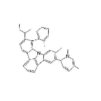 CCC(C)c1ccc2c3cccc4c5cc(C6C=CC(C)=CN6C)c(C)cc5n(c2c1-c1ccccc1C)c43